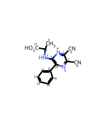 CC(Nc1nc(C#N)c(C#N)nc1-c1ccccc1)C(=O)O